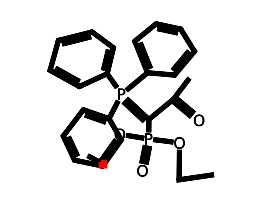 CCOP(=O)(OCC)C(C(C)=O)=P(c1ccccc1)(c1ccccc1)c1ccccc1